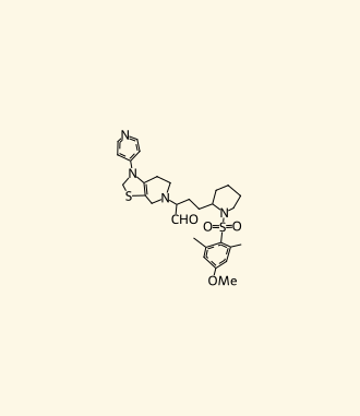 COc1cc(C)c(S(=O)(=O)N2CCCCC2CCC(C=O)N2CCC3=C(C2)SCN3c2ccncc2)c(C)c1